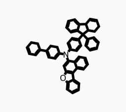 C1=CCCC(C2=CC=C(N(c3ccc(C4(c5ccccc5)c5ccccc5C5C=CCCC54)cc3)c3cc4oc5ccccc5c4c4ccccc34)CC2)=C1